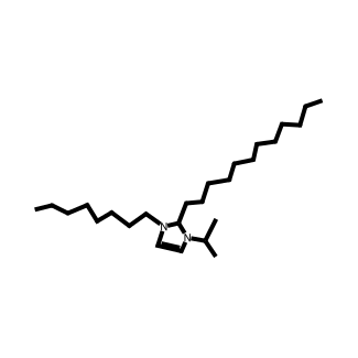 CCCCCCCCCCCCC1N(CCCCCCCC)C=CN1C(C)C